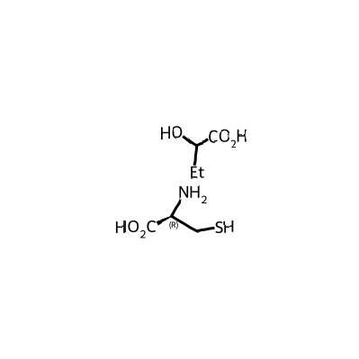 CCC(O)C(=O)O.N[C@@H](CS)C(=O)O